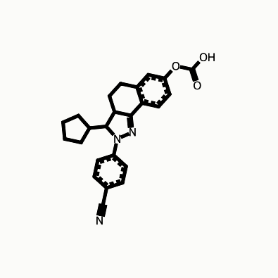 N#Cc1ccc(N2N=C3c4ccc(OC(=O)O)cc4CCC3C2C2CCCC2)cc1